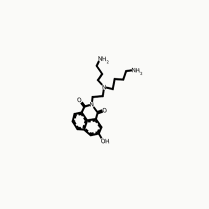 NCCCCN(CCCN)CCN1C(=O)c2cccc3cc(O)cc(c23)C1=O